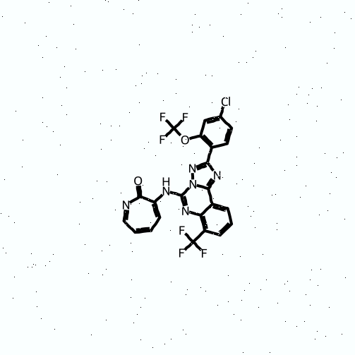 O=c1nccccc1Nc1nc2c(C(F)(F)F)cccc2c2nc(-c3ccc(Cl)cc3OC(F)(F)F)nn12